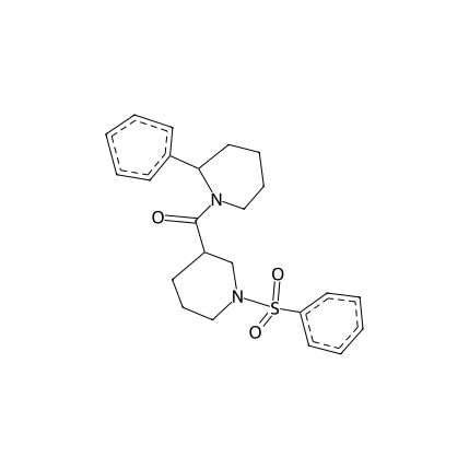 O=C(C1CCCN(S(=O)(=O)c2ccccc2)C1)N1CCCCC1c1ccccc1